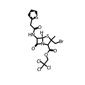 CC1(CBr)S[C@H]2C(NC(=O)Cc3cccs3)C(=O)N2C1C(=O)OCC(Cl)(Cl)Cl